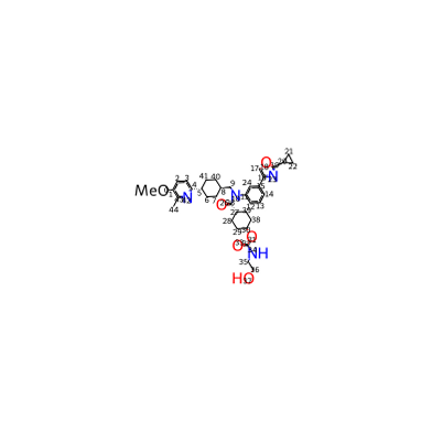 COc1ccc([C@H]2CC[C@H](CN(c3cccc(-c4coc(C5CC5)n4)c3)C(=O)[C@H]3CC[C@H](OC(=O)NCCO)CC3)CC2)nc1C